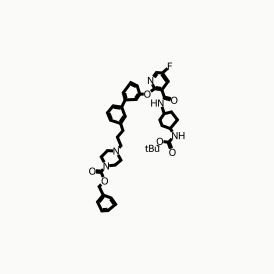 CC(C)(C)OC(=O)NC1CCC(NC(=O)c2cc(F)cnc2Oc2cccc(-c3cccc(CCCN4CCN(C(=O)OCc5ccccc5)CC4)c3)c2)CC1